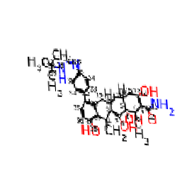 C=C1C2=C(O)[C@]3(O)C(C)C(C(N)=O)=C(O)C[C@@H]3C[C@@H]2Cc2c(-c3ccc(/N=C\NC(C)(C)C)cc3)ccc(O)c21